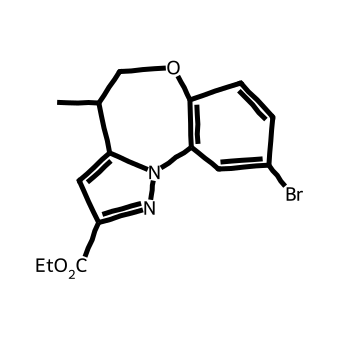 CCOC(=O)c1cc2n(n1)-c1cc(Br)ccc1OCC2C